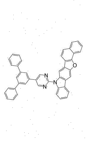 c1ccc(-c2cc(-c3ccccc3)cc(-c3cnc(-n4c5ccccc5c5cc6oc7c8ccccc8ccc7c6cc54)nc3)c2)cc1